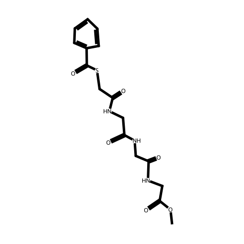 COC(=O)CNC(=O)CNC(=O)CNC(=O)CSC(=O)c1ccccc1